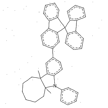 CC12CCCCCCC1(C)N(c1ccccc1)c1ccc(-c3ccc4c(c3)C3(c5ccccc5-c5ccccc53)c3ccccc3-4)cc12